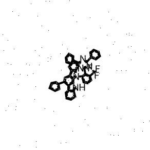 FC(F)(F)c1cccc(-n2c3ccccc3c3cc(-c4ccccc4)c4c5ccccc5[nH]c4c32)c1-c1nc(-c2ccccc2)nc(-c2ccccc2)n1